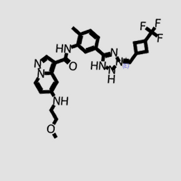 COCCNc1ccn2ncc(C(=O)Nc3cc(C4=N/[N+](=C\C5CC(C(F)(F)F)C5)NN4)ccc3C)c2c1